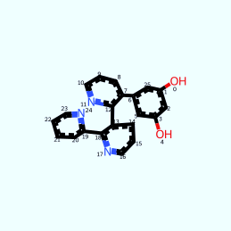 Oc1cc(O)cc(-c2cccnc2-c2cccnc2-c2ccccn2)c1